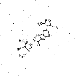 CC[C@H]1C[C@@H](NC(=O)c2cc3ccc(-c4c(C)noc4C)cc3[nH]2)[C@@H](C)N1C#N